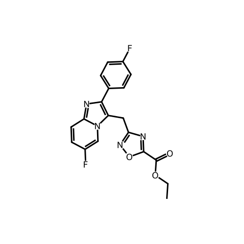 CCOC(=O)c1nc(Cc2c(-c3ccc(F)cc3)nc3ccc(F)cn23)no1